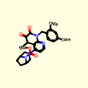 COc1ccc(CN2C(=O)C(=O)C(C)c3c(N4CC5CCC(C4)N5C(=O)OC(C)(C)C)ccnc32)c(OC)c1